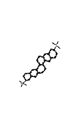 C[Si](C)(C)c1ccc2cc3c(ccc4c5cc6ccc(S(C)(C)C)cc6cc5ccc34)cc2c1